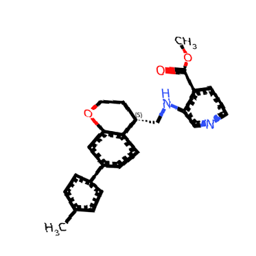 COC(=O)c1ccncc1NC[C@H]1CCOc2cc(-c3ccc(C)cc3)ccc21